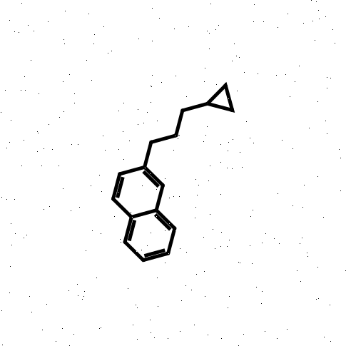 [CH](Cc1ccc2ccccc2c1)CC1CC1